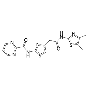 Cc1nc(NC(=O)Cc2csc(NC(=O)c3ncccn3)n2)sc1C